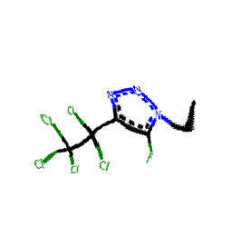 CCn1nnc(C(Cl)(Cl)C(Cl)(Cl)Cl)c1F